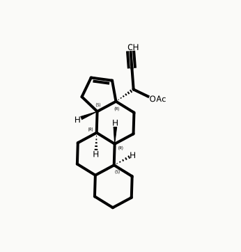 C#CC(OC(C)=O)[C@@]12C=CC[C@H]1[C@@H]1CCC3CCCC[C@@H]3[C@H]1CC2